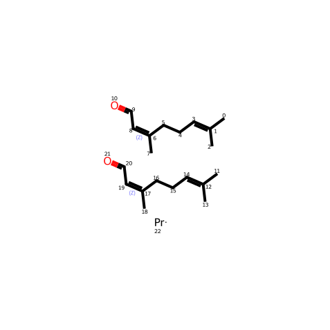 CC(C)=CCC/C(C)=C\C=O.CC(C)=CCC/C(C)=C\C=O.[Pr]